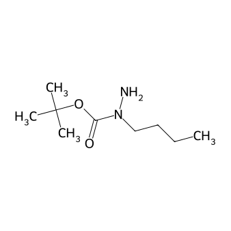 CCCCN(N)C(=O)OC(C)(C)C